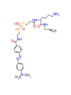 C#CCNC(=O)C(CCCCN)NC(=O)CCSP(=O)(O)PCCNC(=O)c1ccc(/N=N/c2ccc(N(C)C)cc2)cc1